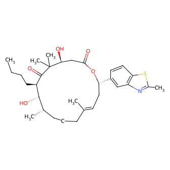 CCCC[C@H]1C(=O)C(C)(C)[C@@H](O)CC(=O)O[C@H](c2ccc3sc(C)nc3c2)C/C=C(\C)CCC[C@H](C)[C@@H]1O